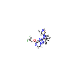 Cc1cc(N2CC3C[C@@H](C2)[C@@H]3Nc2nc3c(OCC(F)F)nccn3n2)sn1